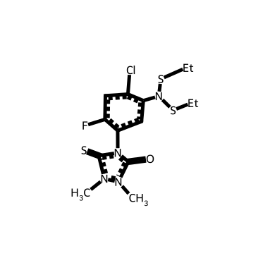 CCSN(SCC)c1cc(-n2c(=O)n(C)n(C)c2=S)c(F)cc1Cl